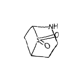 O=S1(=O)C2CCNC1C2